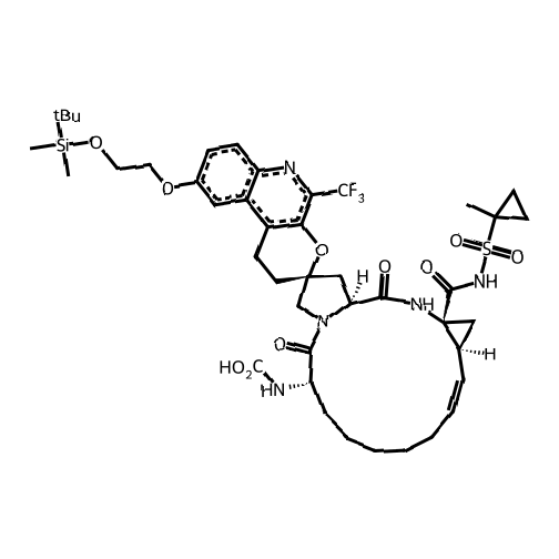 CC(C)(C)[Si](C)(C)OCCOc1ccc2nc(C(F)(F)F)c3c(c2c1)CC[C@]1(C[C@H]2C(=O)N[C@]4(C(=O)NS(=O)(=O)C5(C)CC5)C[C@H]4C=CCCCCC[C@H](NC(=O)O)C(=O)N2C1)O3